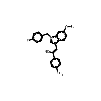 CCOc1ccc2c(/C=C(\C#N)c3ccc(C)cc3)cn(Cc3ccc(F)cc3)c2c1